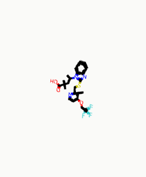 Cc1c(OCC(F)(F)F)ccnc1CSc1nc2ccccc2n1C(C)CC(C)(C)C(=O)O